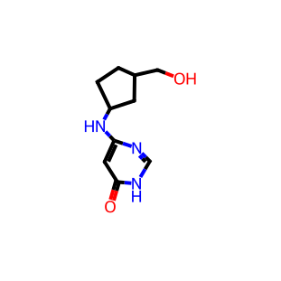 O=c1cc(NC2CCC(CO)C2)nc[nH]1